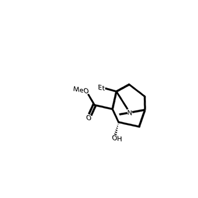 CCC12CCC(C[C@H](O)C1C(=O)OC)N2C